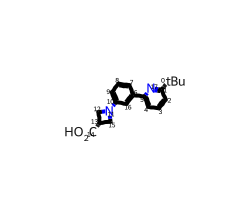 CC(C)(C)c1cccc(-c2cccc(N3CC(C(=O)O)C3)c2)n1